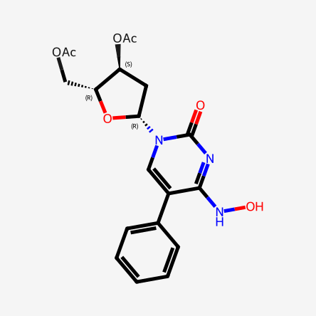 CC(=O)OC[C@H]1O[C@@H](n2cc(-c3ccccc3)c(NO)nc2=O)C[C@@H]1OC(C)=O